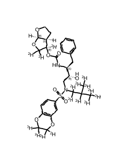 [2H]C([2H])([2H])C([2H])(C([2H])([2H])[2H])C([2H])([2H])N(C[C@@H](O)[C@H](Cc1ccccc1)NC(=O)O[C@]1([2H])[C@@H]2CCO[C@@H]2OC1([2H])[2H])S(=O)(=O)c1ccc2c(c1)OC([2H])([2H])C([2H])([2H])O2